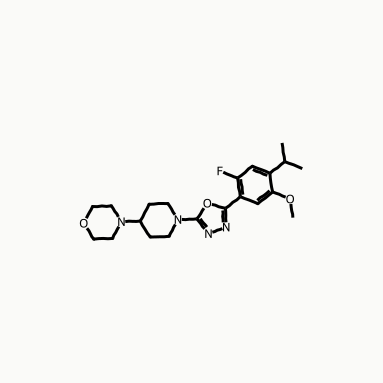 COc1cc(-c2nnc(N3CCC(N4CCOCC4)CC3)o2)c(F)cc1C(C)C